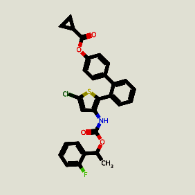 CC(OC(=O)Nc1cc(Cl)sc1-c1ccccc1-c1ccc(OC(=O)C2CC2)cc1)c1ccccc1F